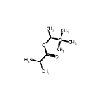 CC(OC(=O)[C@@H](C)N)[Si](C)(C)C